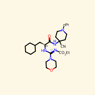 CCCN1CCC(C#N)(NC(=O)[C@H](CC2CCCCC2)N/C(=N/C(=O)OCC)N2CCOCC2)CC1